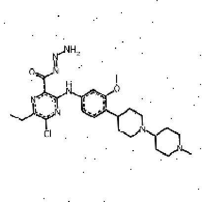 CCc1nc(C(=O)N=NN)c(Nc2ccc(C3CCN(C4CCN(C)CC4)CC3)c(OC)c2)nc1Cl